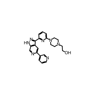 OCCN1CCN(c2cccc(-c3n[nH]c4cnc(-c5cccnc5)cc34)n2)CC1